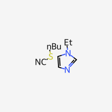 CCCCSC#N.CCn1ccnc1